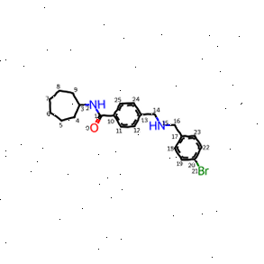 O=C(NC1CCCCCC1)c1ccc(CNCc2ccc(Br)cc2)cc1